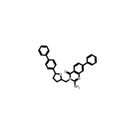 Nc1nc2cc(-c3ccccc3)ccc2c(=O)n1CC1CCC(c2ccc(-c3ccccc3)cc2)O1